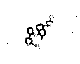 Cc1ccc2c(NC[C@@H](C)C#N)cccc2c1Oc1ncccc1-c1ccnc(N)n1